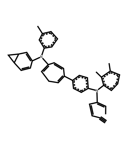 C#C/C=C\C(=C/C)N(c1ccc(C2=CCC=C(N(C3=CC4CC4C=C3)c3cccc(C)c3)C=C2)cc1)c1cccc(C)c1C